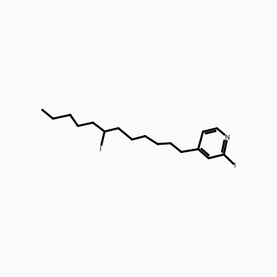 CCCCCC(I)CCCCCCc1ccnc(I)c1